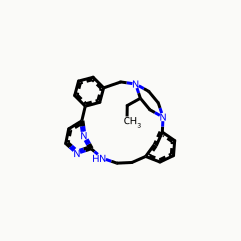 CCC1CN2CCN1Cc1cccc(c1)-c1ccnc(n1)NCCc1cccc2c1